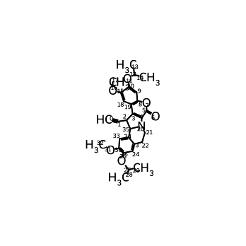 C#CC1c2c(c(=O)oc3cc(OC(C)C)c(OC)cc23)N2CCc3cc(OC(C)C)c(OC)cc3C12